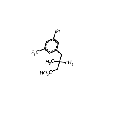 CC(C)c1cc(CC(C)(C)CC(=O)O)cc(C(F)(F)F)c1